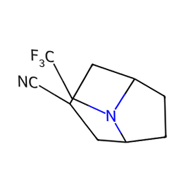 N#CC1CC2CCC(C1)N2CC(F)(F)F